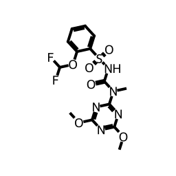 COc1nc(OC)nc(N(C)C(=O)NS(=O)(=O)c2ccccc2OC(F)F)n1